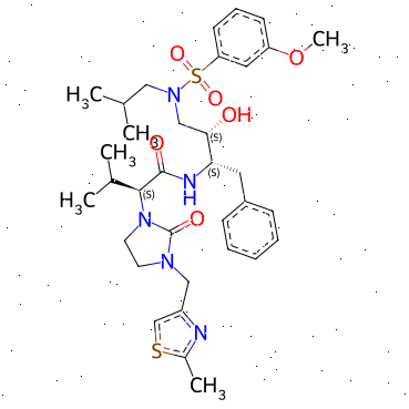 COc1cccc(S(=O)(=O)N(CC(C)C)C[C@H](O)[C@H](Cc2ccccc2)NC(=O)[C@H](C(C)C)N2CCN(Cc3csc(C)n3)C2=O)c1